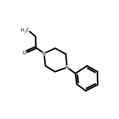 CCC(=O)N1CCN(c2ccccc2)CC1